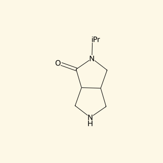 CC(C)N1CC2CNCC2C1=O